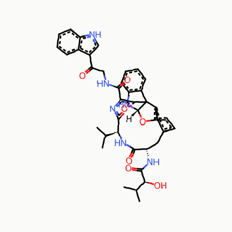 CC(C)[C@H](O)C(=O)N[C@H]1Cc2ccc3c(c2)C2(c4ccccc4N[C@H]2O3)c2oc(nc2C(=O)NCC(=O)c2c[nH]c3ccccc23)[C@H](C(C)C)NC1=O